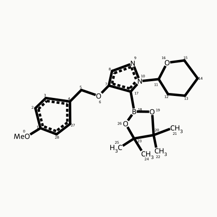 COc1ccc(COc2cnn(C3CCCCO3)c2B2OC(C)(C)C(C)(C)O2)cc1